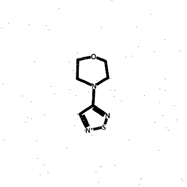 [C]1=[N+]SN=C1N1CCOCC1